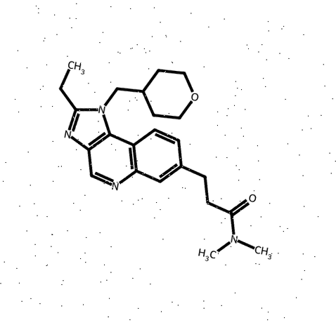 CCc1nc2cnc3cc(CCC(=O)N(C)C)ccc3c2n1CC1CCOCC1